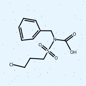 O=C(O)N(Cc1ccccc1)S(=O)(=O)CCCCl